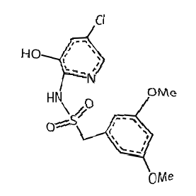 COc1cc(CS(=O)(=O)Nc2ncc(Cl)cc2O)cc(OC)c1